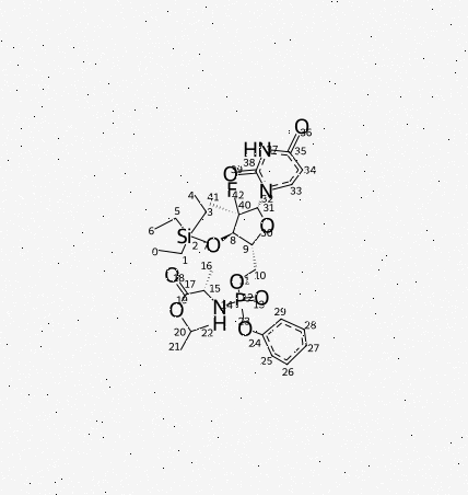 CC[Si](CC)(CC)O[C@@H]1[C@@H](COP(=O)(N[C@@H](C)C(=O)OC(C)C)Oc2ccccc2)O[C@@H](n2ccc(=O)[nH]c2=O)[C@]1(C)F